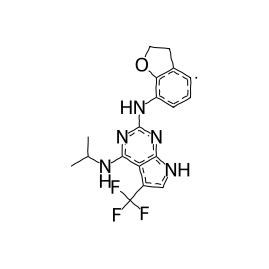 CC(C)Nc1nc(Nc2cc[c]c3c2OCC3)nc2[nH]cc(C(F)(F)F)c12